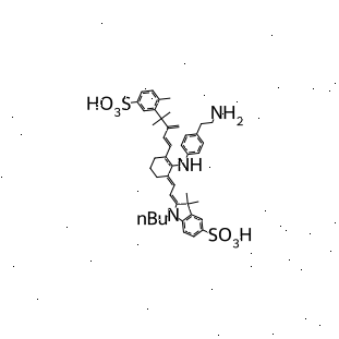 C=C(/C=C/C1=C(Nc2ccc(CCN)cc2)C(=C/C=C2/N(CCCC)c3ccc(S(=O)(=O)O)cc3C2(C)C)/CCC1)C(C)(C)c1cc(S(=O)(=O)O)ccc1C